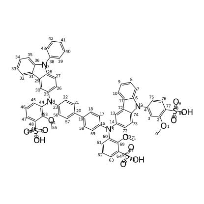 COc1cc(-n2c3ccccc3c3cc(N(c4ccc(-c5ccc(N(c6ccc7c(c6)c6ccccc6n7-c6ccccc6)c6cccc(S(=O)(=O)O)c6OC)cc5)cc4)c4cccc(S(=O)(=O)O)c4OC)ccc32)ccc1S(=O)(=O)O